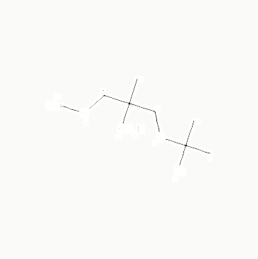 CCC(C)(C)OCC(C)(COC(C)(C)C)C(=O)O